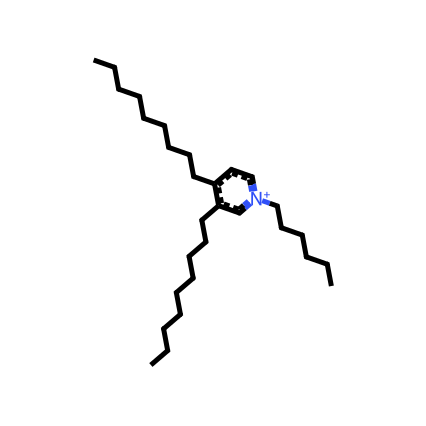 CCCCCCCCCc1cc[n+](CCCCCC)cc1CCCCCCCCC